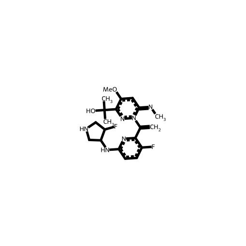 C=C(c1nc(NC2CNCC2F)ccc1F)n1nc(C(C)(C)O)c(OC)c/c1=N/C